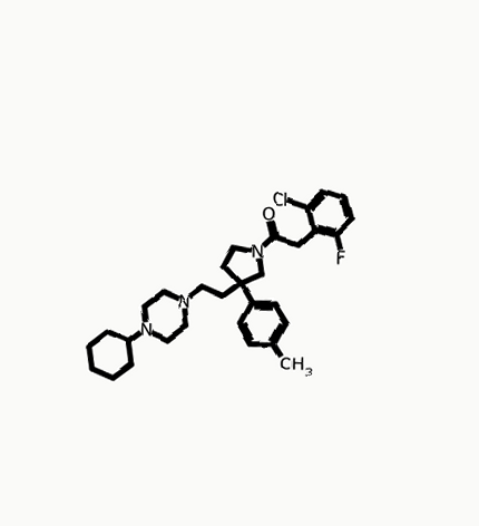 Cc1ccc(C2(CCN3CCN(C4CCCCC4)CC3)CCN(C(=O)Cc3c(F)cccc3Cl)C2)cc1